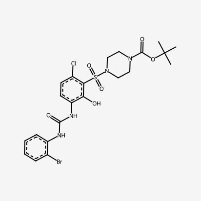 CC(C)(C)OC(=O)N1CCN(S(=O)(=O)c2c(Cl)ccc(NC(=O)Nc3ccccc3Br)c2O)CC1